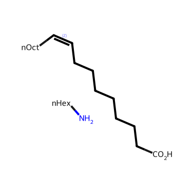 CCCCCCCC/C=C\CCCCCCCC(=O)O.CCCCCCN